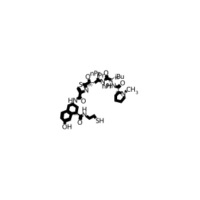 CCCO[C@H](CC(C(C)C)N(CCC)C(=O)[C@@H](NC(=O)[C@H]1CCCCN1C)[C@@H](C)CC)c1nc(C(=O)N[C@H]2Cc3ccc(O)cc3[C@H](C(=O)NCCS)C2)cs1